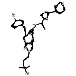 CC(C)(O)CCn1cc2cc(NC(=O)c3csc(-c4ccncc4)n3)c(-c3ccc(O)cc3)cc2n1